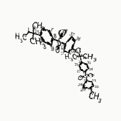 CCC(C)(C)c1ccc(S(=O)(=O)c2ccc(OC(C)(C)c3ccc(S(=O)(=O)c4ccc(C)cc4)cc3)cc2)cc1